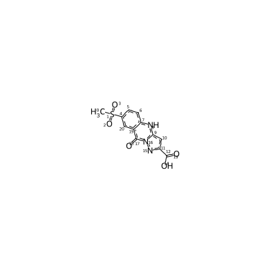 CS(=O)(=O)c1ccc2[nH]c3cc(C(=O)O)nn3c(=O)c2c1